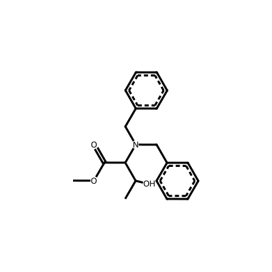 COC(=O)C(C(C)O)N(Cc1ccccc1)Cc1ccccc1